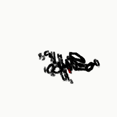 CC1(C)N=C(C23CC(N(Cc4ccc(Cl)cc4)S(=O)(=O)C4CCCCC4)(C2)C3)N[C@H]1C(=O)NCCC(F)(F)F